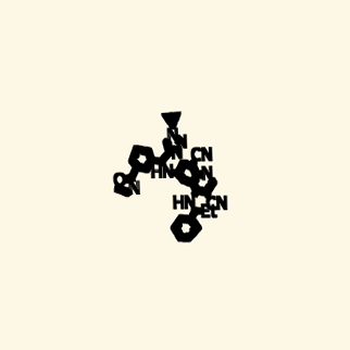 CCC(Nc1c(C#N)cnc2c(C#N)cc(NC(c3cccc(-c4ncco4)c3)c3cn(C4CC4)nn3)cc12)c1ccccc1